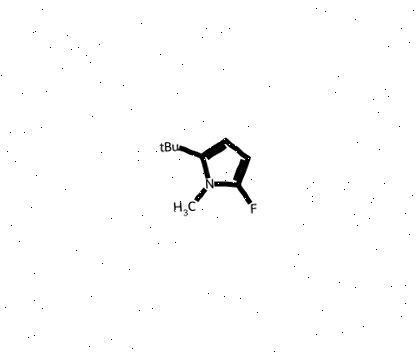 Cn1c(F)ccc1C(C)(C)C